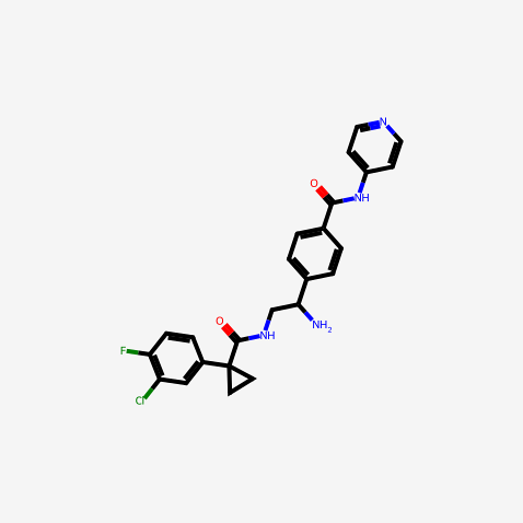 NC(CNC(=O)C1(c2ccc(F)c(Cl)c2)CC1)c1ccc(C(=O)Nc2ccncc2)cc1